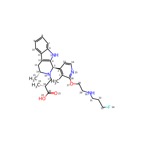 Cc1c([C@@H]2c3[nH]c4ccccc4c3C[C@@H](C)N2C[C@@H](C)C(=O)O)ccnc1OCCNCCCF